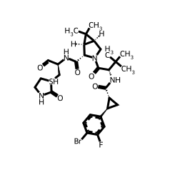 CC(C)(C)[C@H](NC(=O)[C@@H]1C[C@H]1c1ccc(Br)c(F)c1)C(=O)N1C[C@H]2[C@@H]([C@H]1C(=O)N[C@H](C=O)C[SH]1CCNC1=O)C2(C)C